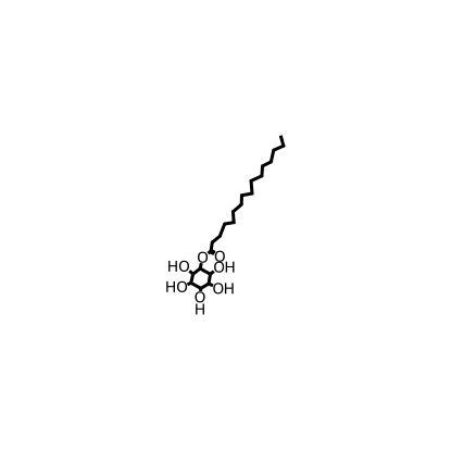 CCCCCCCCCCCCCCCC(=O)OC1C(O)C(O)C(O)C(O)C1O